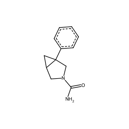 NC(=O)N1CC2CC2(c2ccccc2)C1